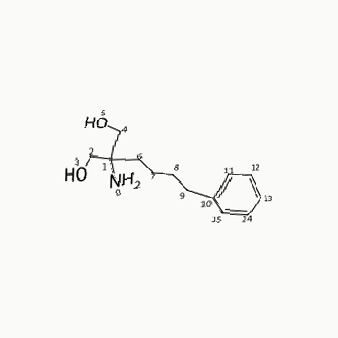 NC(CO)(CO)CCCCc1ccccc1